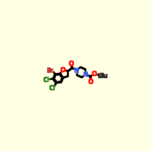 CC(C)(C)OC(=O)N1CCN(C(=O)C2Cc3cc(Cl)c(Cl)c(Br)c3O2)CC1